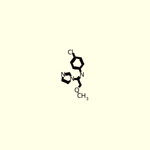 COCC(=Nc1ccc(Cl)cc1)n1ccnc1